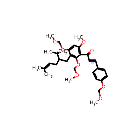 C=C(C)C(CC=C(C)C)Cc1c(OCOC)cc(OC)c(C(=O)/C=C/c2ccc(OCOC)cc2)c1OCOC